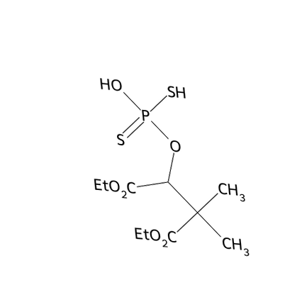 CCOC(=O)C(OP(O)(=S)S)C(C)(C)C(=O)OCC